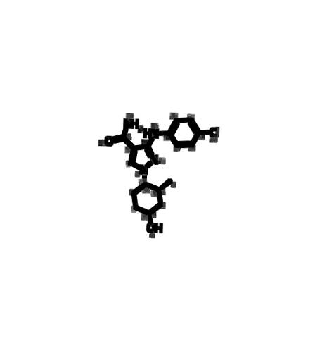 C[C@H]1C[C@@H](O)CC[C@@H]1n1cc(C(N)=O)c(Nc2ccc(Cl)cc2)n1